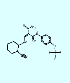 N#CC1CCCCC1N/C=C(\C(=N)Nc1ccc(OC(F)(F)F)cc1)C(N)=O